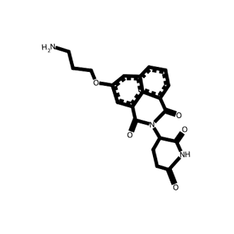 NCCCOc1cc2c3c(cccc3c1)C(=O)N(C1CCC(=O)NC1=O)C2=O